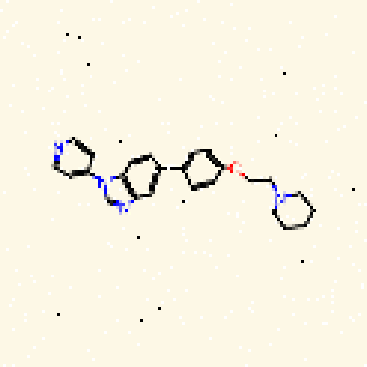 c1cc(-n2cnc3cc(-c4ccc(OCCN5CCCCC5)cc4)ccc32)ccn1